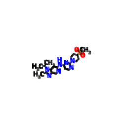 Cc1nc2cnc(Nc3ccnc(N4CCC(S(C)(=O)=O)CC4)n3)cc2n1C(C)C